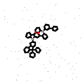 c1ccc(-c2cccc(N(c3ccccc3)c3ccccc3-c3ccc4c5ccccc5n(-c5ccc6c(c5)-c5ccccc5C6(c5ccccc5)c5ccccc5)c4c3)c2)cc1